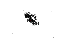 CCCNC(=O)C(=O)[C@@H]1CCCCCCCCC[C@H](NC(=O)NC2(C(C)(C)S(=O)(=O)C(C)C)CCCCC2)C(=O)N2C[C@H]3[C@@H]([C@H]2C(=O)N1)C3(C)C